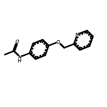 CC(=O)Nc1ccc(OCc2ccccn2)cc1